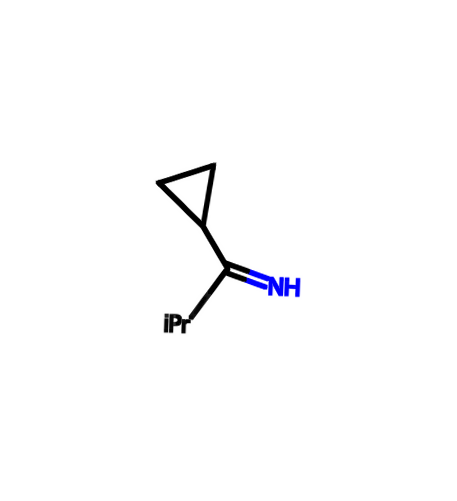 CC(C)C(=N)C1CC1